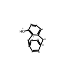 Oc1cccc2c1Cc1ccc(cc1)C2